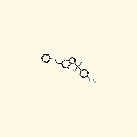 Cc1ccc(S(=O)(=O)n2ccc3nc(CCc4ccccc4)cnc32)cc1